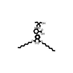 CCC(CO)(CO)CO.CCCCCCCCOC(=O)c1ccccc1C(=O)OCCCCCCCC.O=C(O)C1CCCCC1